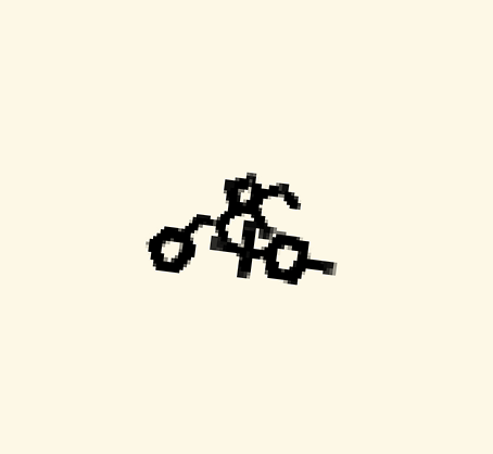 COc1onc([C@@H](Cc2ccccc2)NS(=O)(=O)c2ccc(Cl)cc2)c1Br